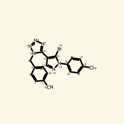 N#Cc1ccc(Cn2nnnc2-c2cnn(-c3ccc(Cl)cc3)c2Br)cc1